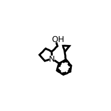 OCC1CCCN1c1ccccc1C1CC1